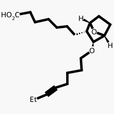 CCC#CCCCCO[C@@H]1[C@H](CCCCCCC(=O)O)[C@@H]2CC[C@H]1O2